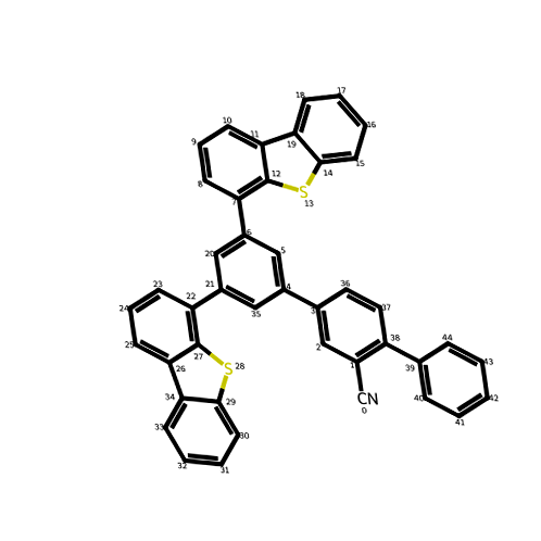 N#Cc1cc(-c2cc(-c3cccc4c3sc3ccccc34)cc(-c3cccc4c3sc3ccccc34)c2)ccc1-c1ccccc1